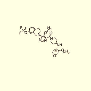 COc1c(C(=O)N2CCC(N[C@H]3CCOCC3OC)CC2)ncnc1N1CCc2ccc(OC(F)(F)F)cc2C1